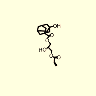 C=CC(=O)OCC(O)COC(=O)C12CC3CC(CC(O)(C3)C1)C2